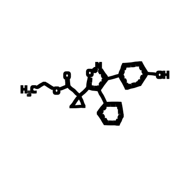 CCOC(=O)C1(c2onc(-c3ccc(O)cc3)c2-c2ccccc2)CC1